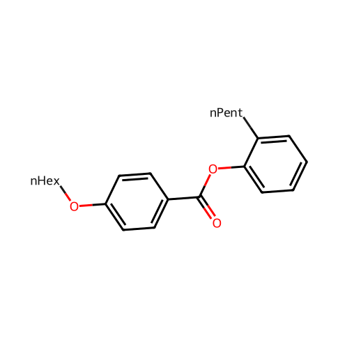 CCCCCCOc1ccc(C(=O)Oc2ccccc2CCCCC)cc1